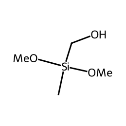 CO[Si](C)(CO)OC